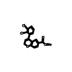 COC(=O)c1ccc2c(c1)C(c1cccc(Cl)c1Cl)=CCO2